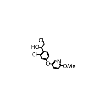 COc1ccc(Oc2ccc(C(O)CCl)c(Cl)c2)cn1